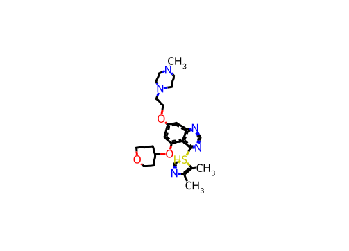 CC1=C(C)[SH](c2ncnc3cc(OCCN4CCN(C)CC4)cc(OC4CCOCC4)c23)C=N1